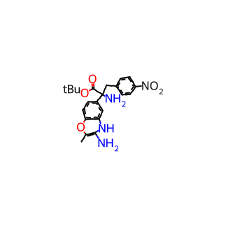 CC1=C(N)Nc2cc(C(N)(Cc3ccc([N+](=O)[O-])cc3)C(=O)OC(C)(C)C)ccc2O1